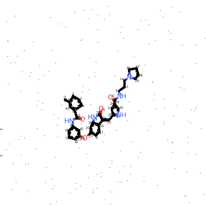 Cc1cccc(C(=O)Nc2cccc(Oc3ccc4c(c3)NC(=O)C4=Cc3cc(C(=O)NCCCN4CCCC4)c[nH]3)c2)c1